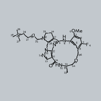 COc1cc(F)c2cc1Nc1nc3c(cnn3c3c1CCN3COCC[Si](C)(C)C)C(=O)N[C@H](C)COC2